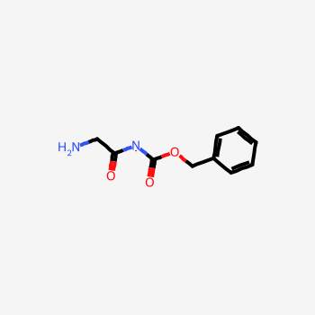 NCC(=O)[N]C(=O)OCc1ccccc1